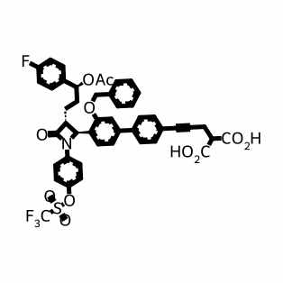 CC(=O)O[C@@H](CC[C@H]1C(=O)N(c2ccc(OS(=O)(=O)C(F)(F)F)cc2)[C@@H]1c1ccc(-c2ccc(C#CCC(C(=O)O)C(=O)O)cc2)cc1OCc1ccccc1)c1ccc(F)cc1